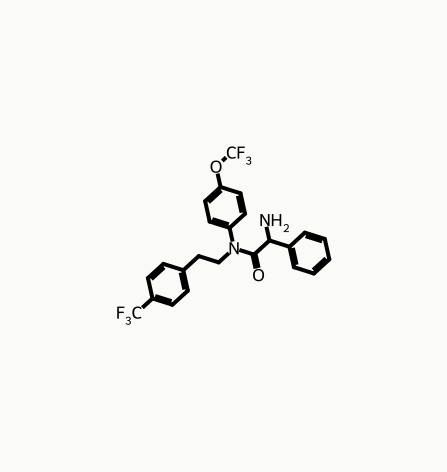 NC(C(=O)N(CCc1ccc(C(F)(F)F)cc1)c1ccc(OC(F)(F)F)cc1)c1ccccc1